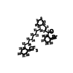 O=C(C=Cc1ccccc1CCCCCCCCc1ccccc1C(F)(F)F)c1ccccc1Br